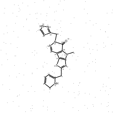 Cn1c2nc(CC3=CC=CCN3)sc2c2cnn(Cc3cc[nH]n3)c(=O)c21